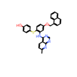 Cc1ccc2c(Nc3cc(OCc4cccc5ccccc45)ccc3Sc3ccc(O)cc3)ncnc2n1